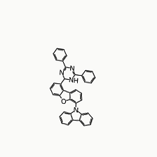 c1ccc(C2=NC(c3cccc4oc5c(-n6c7ccccc7c7ccccc76)cccc5c34)NC(c3ccccc3)=N2)cc1